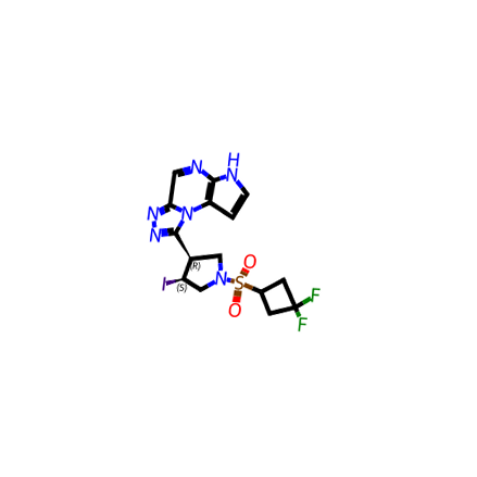 O=S(=O)(C1CC(F)(F)C1)N1C[C@@H](I)[C@@H](c2nnc3cnc4[nH]ccc4n23)C1